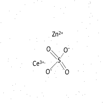 O=S(=O)([O-])[O-].[Ce+3].[Zn+2]